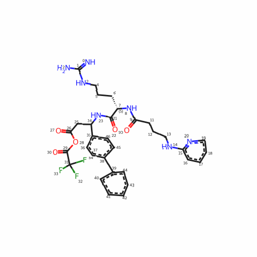 N=C(N)NCCC[C@H](NC(=O)CCCNc1ccccn1)C(=O)NC(CC(=O)OC(=O)C(F)(F)F)c1ccc(-c2ccccc2)cc1